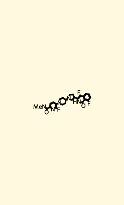 CNC(=O)c1ccc(N2CCC(N3CCC(c4[nH]c(=O)c5c(F)cccc5c4F)C3)CC2)c(F)n1